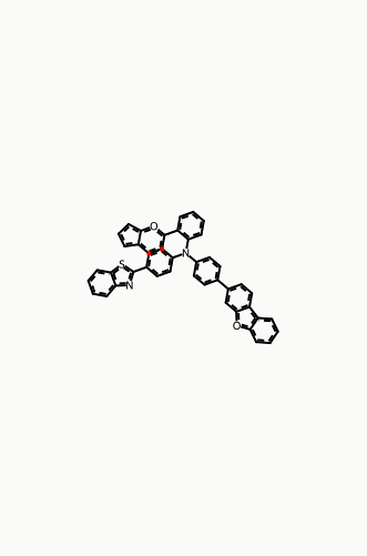 c1cc2ccc(-c3ccccc3N(c3ccc(-c4ccc5c(c4)oc4ccccc45)cc3)c3ccc(-c4nc5ccccc5s4)cc3)oc-2c1